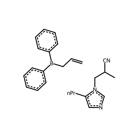 C=CCB(c1ccccc1)c1ccccc1.CCCc1cncn1CC(C)C#N